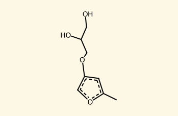 Cc1cc(OCC(O)CO)co1